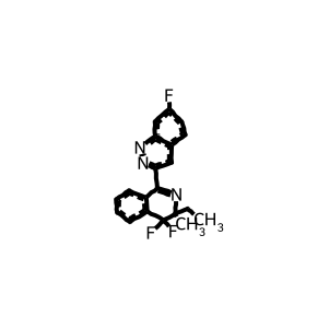 CCC1(C)N=C(c2cc3ccc(F)cc3nn2)c2ccccc2C1(F)F